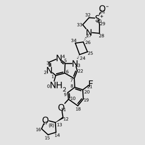 Nc1ncnc2c1c(-c1cc(OC[C@H]3CCCO3)ccc1F)cn2[C@H]1C[C@@H](N2CC[S+]([O-])CC2)C1